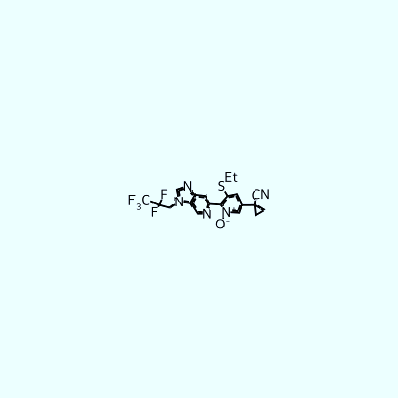 CCSc1cc(C2(C#N)CC2)c[n+]([O-])c1-c1cc2ncn(CC(F)(F)C(F)(F)F)c2cn1